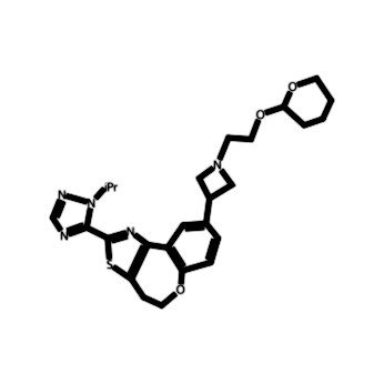 CC(C)n1ncnc1-c1nc2c(s1)CCOc1ccc(C3CN(CCOC4CCCCO4)C3)cc1-2